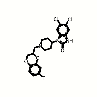 O=c1[nH]c2cc(Cl)c(Cl)cc2n1C1CCN(CC2COc3ccc(F)cc3O2)CC1